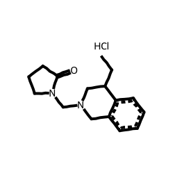 CCC1CN(CN2CCCC2=O)Cc2ccccc21.Cl